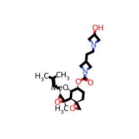 CO[C@@H]1[C@H](OC(=O)N2CC(CCN3CC(O)C3)C2)CC[C@]2(CO2)[C@H]1[C@@]1(C)O[C@@H]1CC=C(C)C